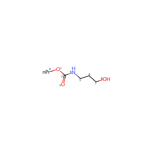 CCCOC(=O)NCCCO